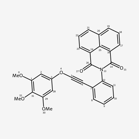 COc1cc(OC#Cc2ccccc2N2C(=O)c3cccc4cccc(c34)C2=O)cc(OC)c1OC